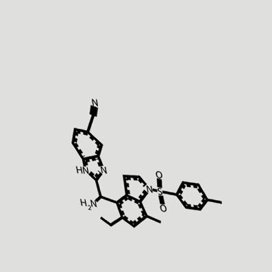 CCc1cc(C)c2c(ccn2S(=O)(=O)c2ccc(C)cc2)c1C(N)c1nc2cc(C#N)ccc2[nH]1